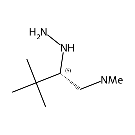 CNC[C@@H](NN)C(C)(C)C